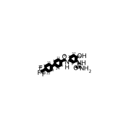 N[S+]([O-])Nc1cc(NC(=O)c2ccc(-c3ccc(C(F)(F)F)cc3)cc2)ccc1O